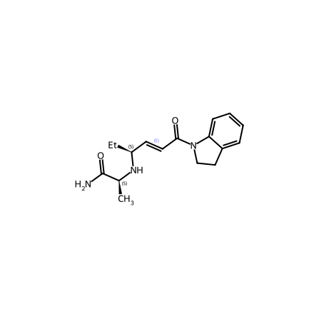 CC[C@@H](/C=C/C(=O)N1CCc2ccccc21)N[C@@H](C)C(N)=O